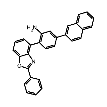 Nc1cc(-c2ccc3ccccc3c2)ccc1-c1cccc2oc(-c3ccccc3)nc12